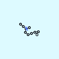 c1ccc(-c2ccc(-c3cc(-c4cccc(-c5cccc(-c6ccc(-c7ccc8c(c7)C7(CCCCC7)c7ccccc7-8)cc6)c5)c4)nc(-c4ccccc4)n3)cc2)cc1